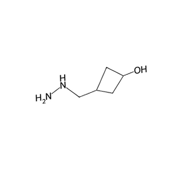 NNCC1CC(O)C1